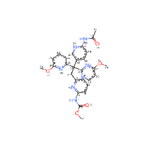 COC(=O)Nc1cccc(CC(c2ccc(NC(C)=O)nc2)(c2cccc(OC)n2)c2nccc(OC)n2)n1